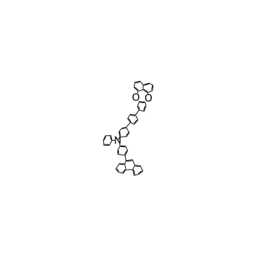 c1ccc(N(c2ccc(-c3ccc(-c4ccc5c(c4)Oc4cccc6cccc(c46)O5)cc3)cc2)c2ccc(-c3cc4ccccc4c4ccccc34)cc2)cc1